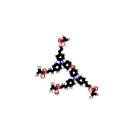 C=C(C)C(=O)OCCCc1ccc(N(c2ccc(CCCOC(=O)C(=C)C)cc2)c2ccc(Oc3ccc(N(c4ccc(CCCOC(=O)C(=C)C)cc4)c4ccc(CCCOC(=O)C(=C)C)cc4)cc3)cc2)cc1